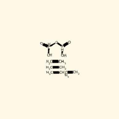 C=C.C=C.C=C.C=C.O=[PH](O)O[PH](=O)O